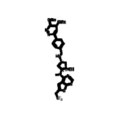 COc1cc(-c2ccc(CN[C@H]3C[C@H](O)[C@@H](N(C)c4ncnc5sc(CC(F)(F)F)cc45)C3)cc2)nnc1OC